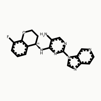 Nc1cnc(-n2cnc3ccncc32)nc1N[C@@H]1CCOc2c(F)cccc21